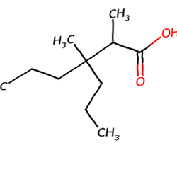 CCCC(C)(CCC)C(C)C(=O)O